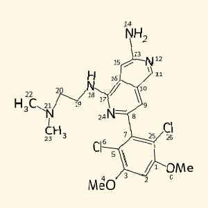 COc1cc(OC)c(Cl)c(-c2cc3cnc(N)cc3c(NCCN(C)C)n2)c1Cl